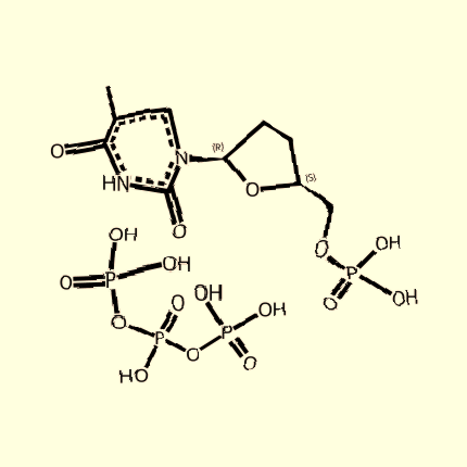 Cc1cn([C@H]2CC[C@@H](COP(=O)(O)O)O2)c(=O)[nH]c1=O.O=P(O)(O)OP(=O)(O)OP(=O)(O)O